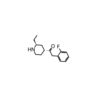 CC[C@H]1C[C@H](C(=O)Cc2ccccc2F)CCN1